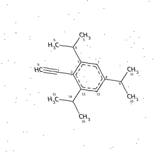 C#Cc1c(C(C)C)cc(C(C)C)cc1C(C)C